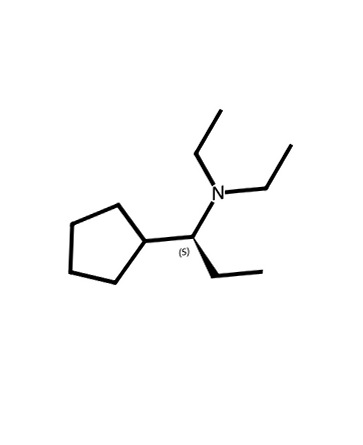 CC[C@@H](C1CCCC1)N(CC)CC